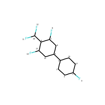 FC1CCC(C2CC(F)C(C(F)F)C(F)C2)CC1